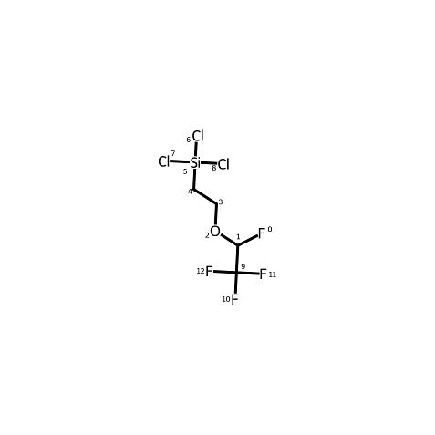 FC(OCC[Si](Cl)(Cl)Cl)C(F)(F)F